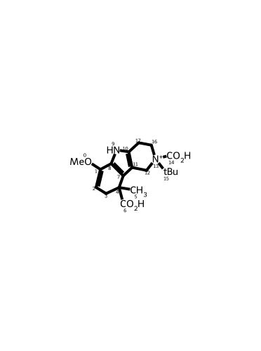 COC1=CCC(C)(C(=O)O)c2c1[nH]c1c2C[N+](C(=O)O)(C(C)(C)C)CC1